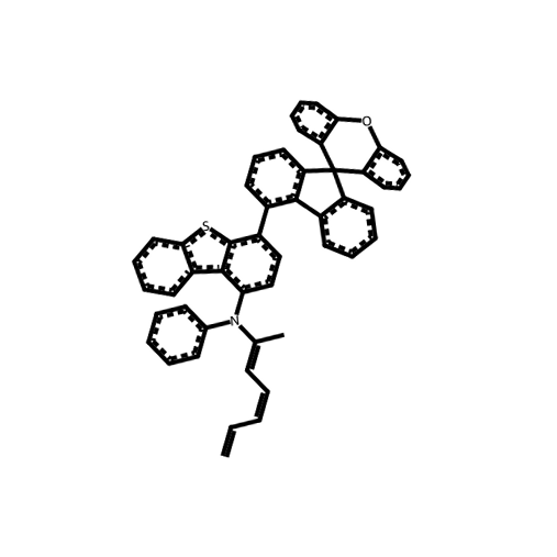 C=C/C=C\C=C(/C)N(c1ccccc1)c1ccc(-c2cccc3c2-c2ccccc2C32c3ccccc3Oc3ccccc32)c2sc3ccccc3c12